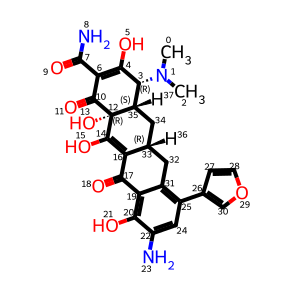 CN(C)[C@H]1C(O)=C(C(N)=O)C(=O)[C@]2(O)C(O)=C3C(=O)c4c(O)c(N)cc(-c5ccoc5)c4C[C@H]3C[C@@H]12